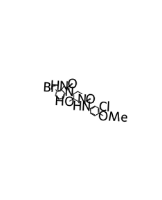 COc1ccc(NC(=O)N2CCC(n3c(=O)[nH]c4c(Br)cccc43)C(O)C2)cc1Cl